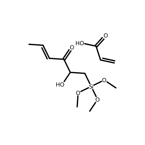 C=CC(=O)O.CC=CC(=O)C(O)C[Si](OC)(OC)OC